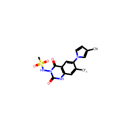 CS(=O)(=O)Nn1c(=O)[nH]c2cc(C(F)(F)F)c(-n3ccc(C#N)c3)cc2c1=O